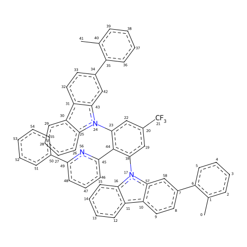 Cc1ccccc1-c1ccc2c3ccccc3n(-c3cc(C(F)(F)F)cc(-n4c5ccccc5c5ccc(-c6ccccc6C)cc54)c3-c3cccc(-c4ccccc4)n3)c2c1